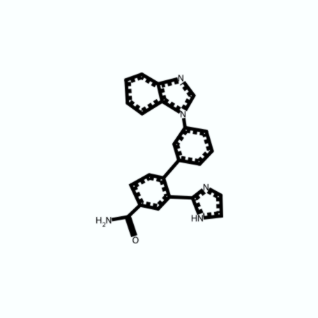 NC(=O)c1ccc(-c2cccc(-n3cnc4ccccc43)c2)c(-c2ncc[nH]2)c1